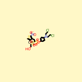 Cc1csc([N+](=O)[O-])c1CC(S(=O)(=O)CCO)S(=O)(=O)Oc1ccc(N(CCCl)CCCl)cc1